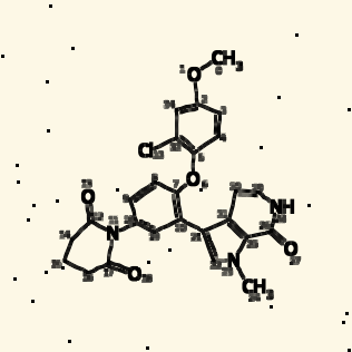 COc1ccc(Oc2ccc(N3C(=O)CCCC3=O)cc2-c2cn(C)c3c(=O)[nH]ccc23)c(Cl)c1